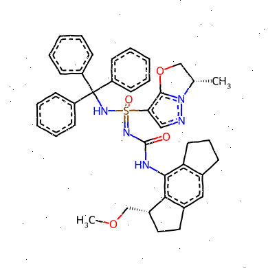 COC[C@H]1CCc2cc3c(c(NC(=O)N=S(=O)(NC(c4ccccc4)(c4ccccc4)c4ccccc4)c4cnn5c4OC[C@@H]5C)c21)CCC3